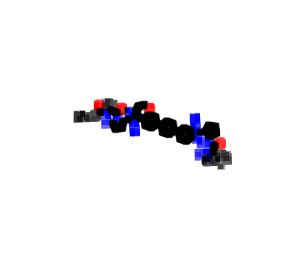 COC(=O)N[C@H](C(=O)N1CCC[C@H]1c1nc2c([nH]1)-c1ccc(-c3ccc(-c4ccc5nc([C@H]6CCC[C@@H]6NC(=O)[C@@H](NC(=O)O)C(C)C)[nH]c5c4)cc3)cc1OCC2)C(C)C